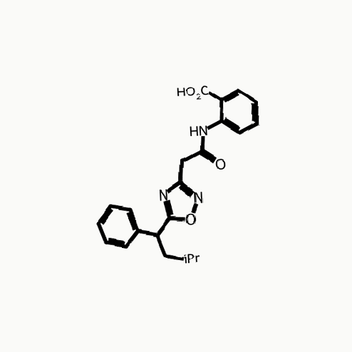 CC(C)CC(c1ccccc1)c1nc(CC(=O)Nc2ccccc2C(=O)O)no1